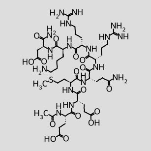 CSCC[C@H](NC(=O)[C@H](CCC(=O)O)NC(=O)[C@H](CCC(=O)O)NC(C)=O)C(=O)N[C@@H](CCC(N)=O)C(=O)N[C@@H](CCCNC(=N)N)C(=O)N[C@@H](CCCNC(=N)N)C(=O)N[C@@H](CCCCN)C(=O)N[C@@H](CC(=O)O)C(N)=O